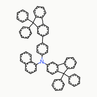 c1ccc(C2(c3ccccc3)c3ccccc3-c3cc(N(c4ccc(-c5ccc6c(c5)C(c5ccccc5)(c5ccccc5)c5ccccc5-6)cc4)c4cccc5ccccc45)ccc32)cc1